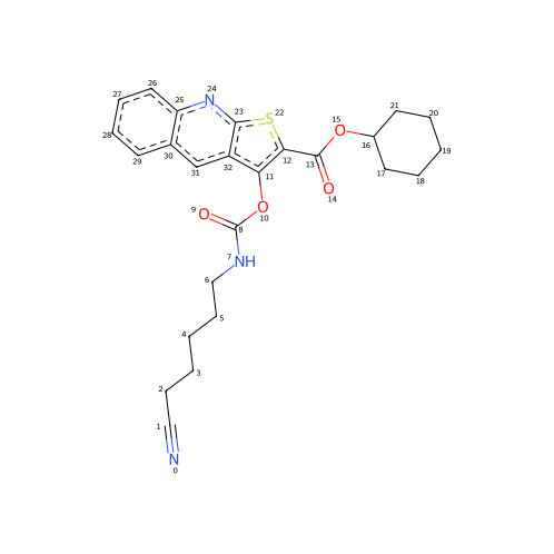 N#CCCCCCNC(=O)Oc1c(C(=O)OC2CCCCC2)sc2nc3ccccc3cc12